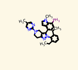 CCc1cccc(CC)c1-n1nc2c(c1-c1ccc(P)c3c1ccn3C)CN(c1ncc(C)cn1)CC2